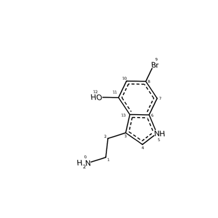 NCCc1c[nH]c2cc(Br)cc(O)c12